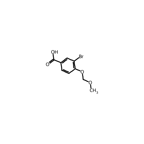 COCOc1ccc(C(=O)O)cc1Br